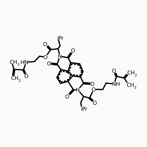 C=C(C)C(=O)NCCOC(=O)C(CC(C)C)N1C(=O)c2ccc3c4c(ccc(c24)C1=O)C(=O)N(C(CC(C)C)C(=O)OCCNC(=O)C(=C)C)C3=O